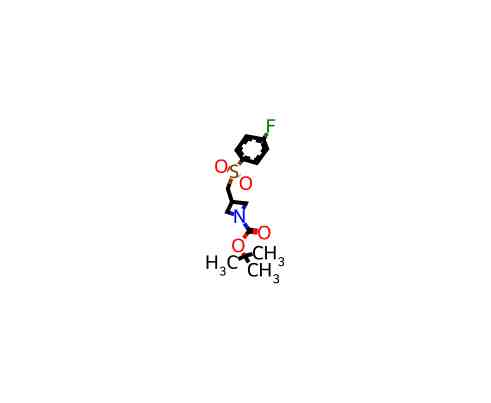 CC(C)(C)OC(=O)N1CC(CS(=O)(=O)c2ccc(F)cc2)C1